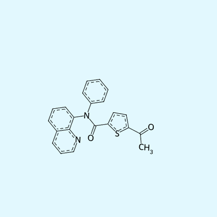 CC(=O)c1ccc(C(=O)N(c2ccccc2)c2cccc3cccnc23)s1